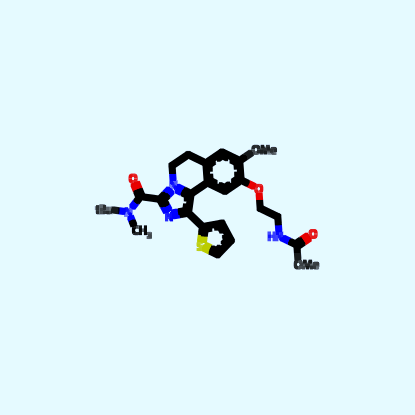 COC(=O)NCCOc1cc2c(cc1OC)CCn1c(C(=O)N(C)C(C)(C)C)nc(-c3cccs3)c1-2